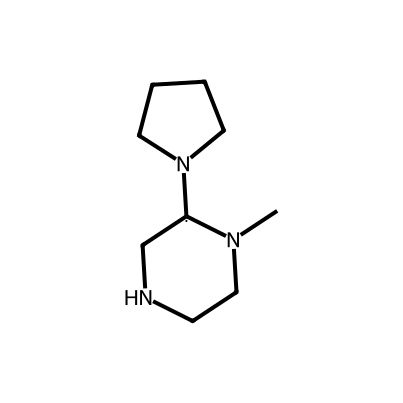 CN1CCNC[C]1N1CCCC1